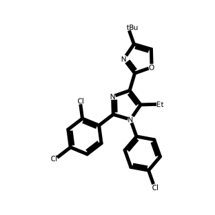 CCc1c(-c2nc(C(C)(C)C)co2)nc(-c2ccc(Cl)cc2Cl)n1-c1ccc(Cl)cc1